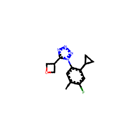 Cc1cc(-n2nnnc2C2COC2)c(C2CC2)cc1F